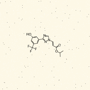 CC(C)OC(=O)C=Cn1cnc(-c2cc(O)cc(C(F)(F)F)c2)n1